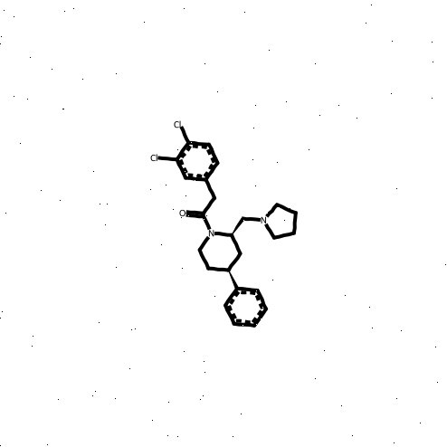 O=C(Cc1ccc(Cl)c(Cl)c1)N1CC[C@H](c2ccccc2)C[C@@H]1CN1CCCC1